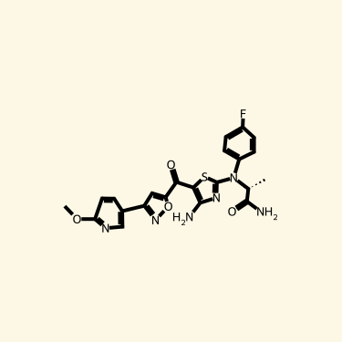 COc1ccc(-c2cc(C(=O)c3sc(N(c4ccc(F)cc4)[C@H](C)C(N)=O)nc3N)on2)cn1